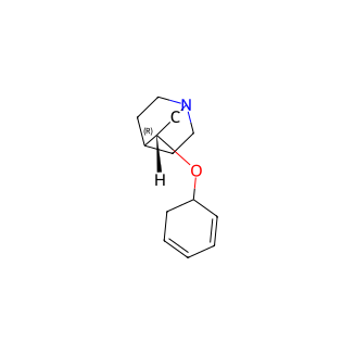 C1=CCC(O[C@H]2CN3CCC2CC3)C=C1